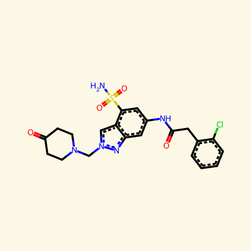 NS(=O)(=O)c1cc(NC(=O)Cc2ccccc2Cl)cc2nn(CN3CCC(=O)CC3)cc12